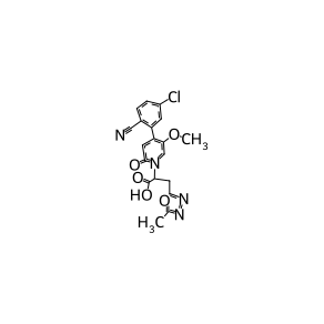 COc1cn(C(Cc2nnc(C)o2)C(=O)O)c(=O)cc1-c1cc(Cl)ccc1C#N